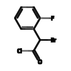 O=C(Cl)C(Br)c1ccccc1F